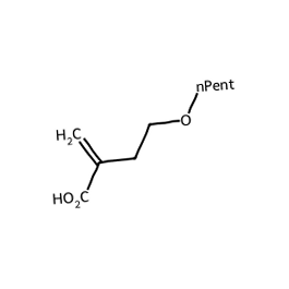 C=C(CCOCCCCC)C(=O)O